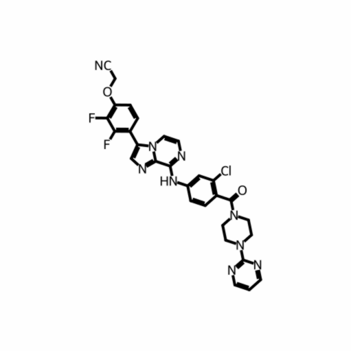 N#CCOc1ccc(-c2cnc3c(Nc4ccc(C(=O)N5CCN(c6ncccn6)CC5)c(Cl)c4)nccn23)c(F)c1F